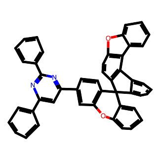 c1ccc(-c2cc(-c3ccc4c(c3)Oc3ccccc3C43c4ccccc4-c4c3ccc3oc5ccccc5c43)nc(-c3ccccc3)n2)cc1